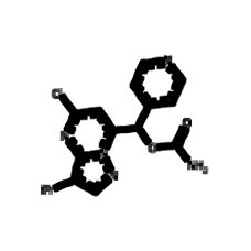 CC(C)c1cnn2c(C(OC(N)=O)c3ccncc3)cc(Cl)nc12